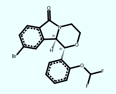 O=C1c2ccc(Br)cc2[C@@H]2[C@@H](c3ccccc3OC(F)F)OCCN12